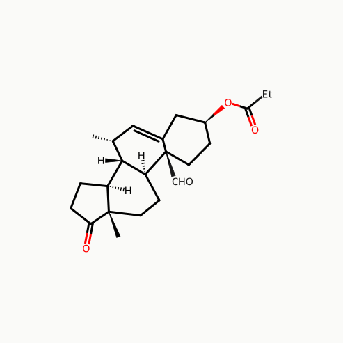 CCC(=O)O[C@H]1CC[C@@]2(C=O)C(=C[C@@H](C)[C@@H]3[C@@H]2CC[C@]2(C)C(=O)CC[C@@H]32)C1